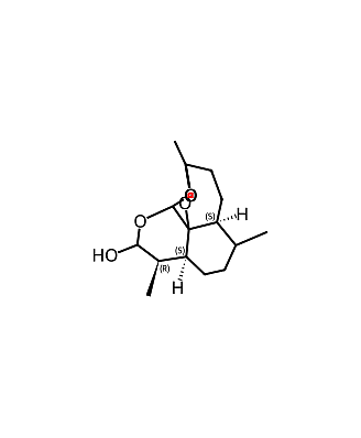 CC1CC[C@H]2[C@@H](C)C(O)OC3OC4(C)CC[C@@H]1C32OO4